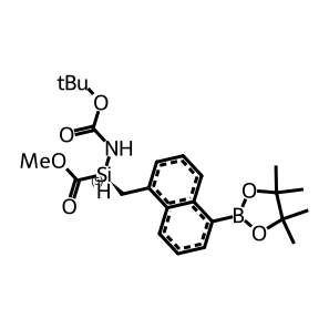 COC(=O)[Si@H](Cc1cccc2c(B3OC(C)(C)C(C)(C)O3)cccc12)NC(=O)OC(C)(C)C